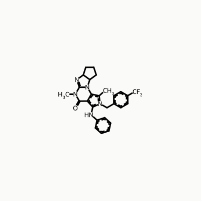 Cc1c2c(c(Nc3ccccc3)n1Cc1ccc(C(F)(F)F)cc1)C(=O)N(C)C1=NC3CCCC3N12